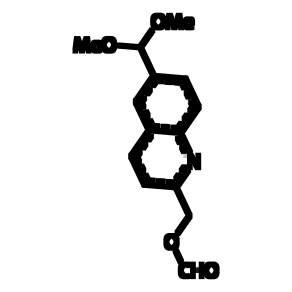 COC(OC)c1ccc2nc(COC=O)ccc2c1